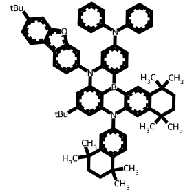 CC(C)(C)c1cc2c3c(c1)N(c1ccc4c(c1)C(C)(C)CCC4(C)C)c1cc4c(cc1B3c1ccc(N(c3ccccc3)c3ccccc3)cc1N2c1ccc2c(c1)oc1cc(C(C)(C)C)ccc12)C(C)(C)CCC4(C)C